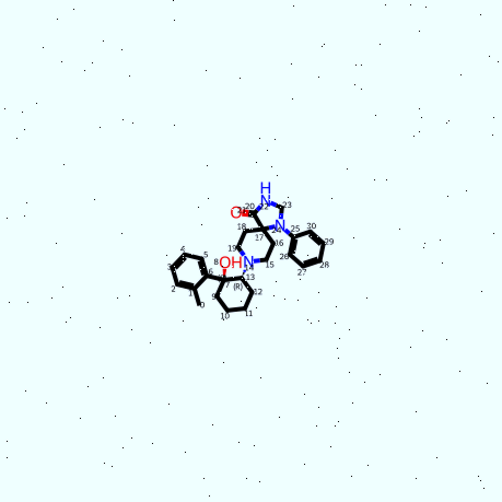 Cc1ccccc1[C@@]1(O)CCCC[C@H]1N1CCC2(CC1)C(=O)NCN2c1ccccc1